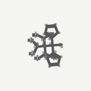 C[SiH](C)[Si]([SiH](C)C)([SiH](C)C)[C]([Zr])(C1=CC=CC1)C1=CC=CC1